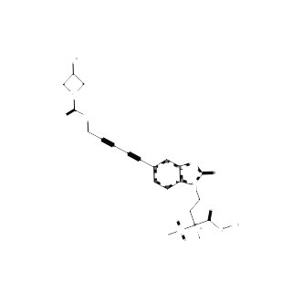 C[C@@](CCn1c(=O)oc2cc(C#CC#CCOC(=O)N3CC(O)C3)ccc21)(C(=O)NO)S(C)(=O)=O